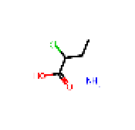 CCC(Cl)C(=O)O.N